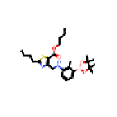 CCCCOC(=O)c1sc(CCCC)nc1CNc1cccc(B2OC(C)(C)C(C)(C)O2)c1C